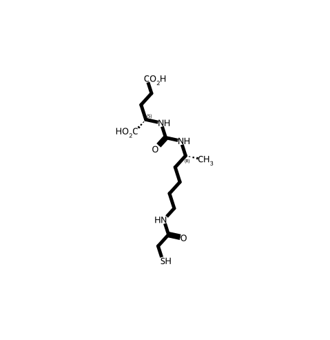 C[C@H](CCCCNC(=O)CS)NC(=O)N[C@@H](CCC(=O)O)C(=O)O